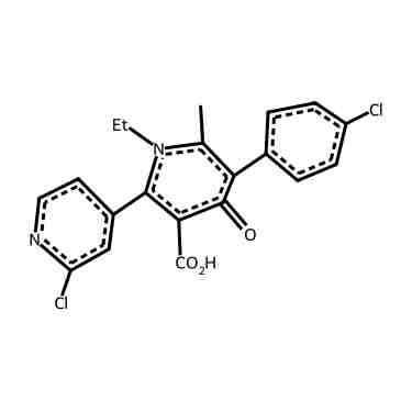 CCn1c(C)c(-c2ccc(Cl)cc2)c(=O)c(C(=O)O)c1-c1ccnc(Cl)c1